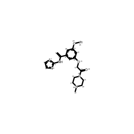 C=C(Nc1nccs1)c1cc(OCC(=O)N2CCN(C)CC2)cc(OC(C)C)c1